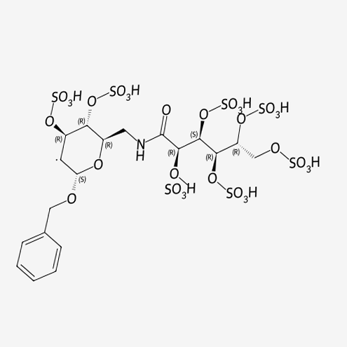 O=C(NC[C@H]1O[C@H](OCc2ccccc2)[CH][C@@H](OS(=O)(=O)O)[C@@H]1OS(=O)(=O)O)[C@H](OS(=O)(=O)O)[C@@H](OS(=O)(=O)O)[C@H](OS(=O)(=O)O)[C@@H](COS(=O)(=O)O)OS(=O)(=O)O